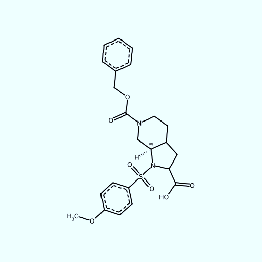 COc1ccc(S(=O)(=O)N2C(C(=O)O)CC3CCN(C(=O)OCc4ccccc4)C[C@@H]32)cc1